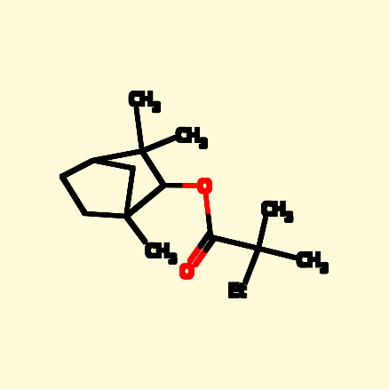 CCC(C)(C)C(=O)OC1C2(C)CCC(C2)C1(C)C